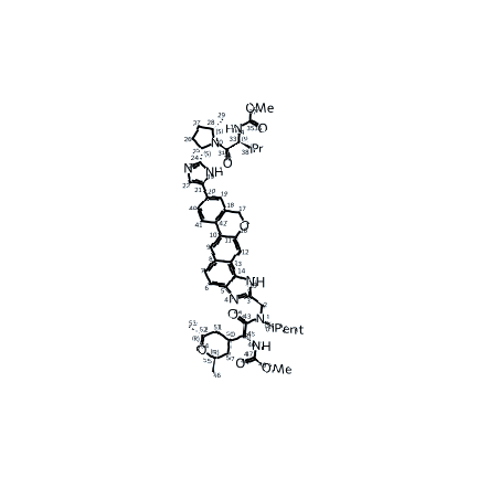 CCC[C@H](C)N(Cc1nc2ccc3cc4c(cc3c2[nH]1)OCc1cc(-c2cnc([C@@H]3CC[C@H](C)N3C(=O)[C@@H](NC(=O)OC)C(C)C)[nH]2)ccc1-4)C(=O)[C@H](NC(=O)OC)C1C[C@@H](C)O[C@H](C)C1